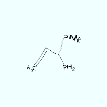 C=C[C@@H](P)OC